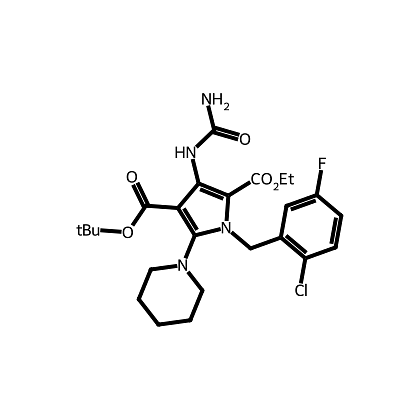 CCOC(=O)c1c(NC(N)=O)c(C(=O)OC(C)(C)C)c(N2CCCCC2)n1Cc1cc(F)ccc1Cl